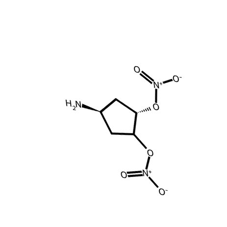 N[C@@H]1CC(O[N+](=O)[O-])[C@@H](O[N+](=O)[O-])C1